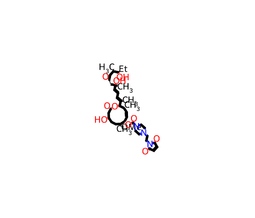 CC[C@H](O)[C@@H](C)[C@@H]1O[C@H]1CC(C)(O)/C=C/C=C(\C)C1OC(=O)CC(O)CCC(C)(OC)C(OC(=O)N2CCN(CCN3C(=O)C=CC3=O)CC2)C=CC1C